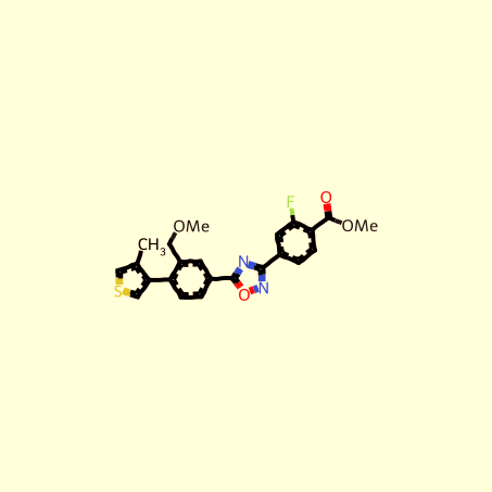 COCc1cc(-c2nc(-c3ccc(C(=O)OC)c(F)c3)no2)ccc1-c1cscc1C